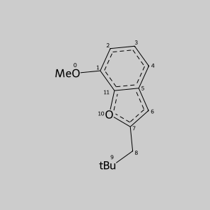 COc1cccc2cc(CC(C)(C)C)oc12